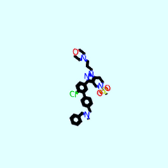 CN(Cc1ccccc1)Cc1ccc(-c2cc(-c3nn(CCCN4CCOCC4)c4c3CN(S(C)(=O)=O)CC4)ccc2Cl)cc1